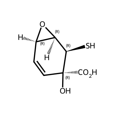 O=C(O)[C@]1(O)C=C[C@H]2O[C@H]2[C@H]1S